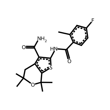 Cc1cc(F)ccc1C(=O)Nc1sc2c(c1C(N)=O)CC(C)(C)OC2(C)C